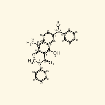 CN(C(=O)c1c(O)c2cc([S+]([O-])c3ccccc3)ccc2n(C)c1=O)c1ccccc1